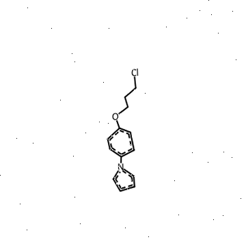 ClCCCOc1ccc(-n2cccc2)cc1